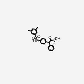 Cc1cc(C)cc(S(=O)(=O)Nc2ccc(C(C(=O)NO)c3ccccc3)cc2)c1